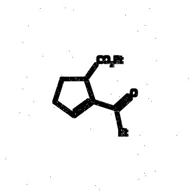 CCOC(=O)C1CCC=C1C(=O)CC